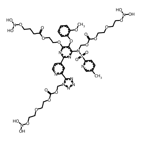 COc1ccccc1Oc1c(OCCOC(=O)CCCON(O)O)nc(-c2ccnc(-c3nnnn3COC(=O)OCCOCCON(O)O)c2)nc1N(COC(=O)OCCOCCON(O)O)S(=O)(=O)c1ccc(C)cn1